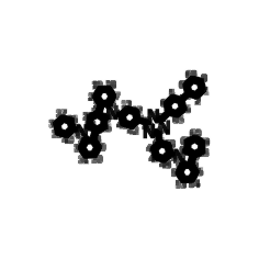 c1ccc(-c2ccc(-c3nc(-c4ccc(-n5c6ccccc6c6cc7c(cc65)c5ccccc5n7-c5ccccc5)cc4)nc(-c4cccc(-n5c6ccccc6c6ccccc65)c4)n3)cc2)cc1